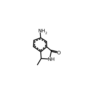 CC1NC(=O)c2cc(N)ccc21